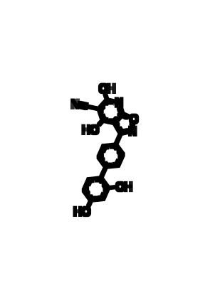 N#Cc1c(O)nc2onc(-c3ccc(-c4ccc(O)cc4O)cc3)c2c1O